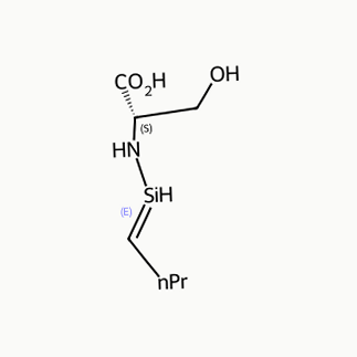 CCC/C=[SiH]/N[C@@H](CO)C(=O)O